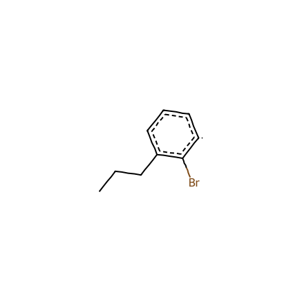 CCCc1ccc[c]c1Br